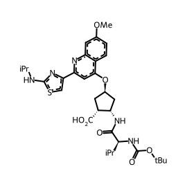 COc1ccc2c(O[C@H]3C[C@H](NC(=O)[C@@H](NC(=O)OC(C)(C)C)C(C)C)[C@H](C(=O)O)C3)cc(-c3csc(NC(C)C)n3)nc2c1